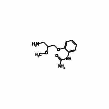 COC(CN)COc1ccccc1NC(N)=O